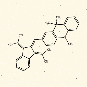 CN1c2ccccc2C(C)(C)c2cc(C=C3C(=C(C#N)C#N)c4ccccc4C3=C(C#N)C#N)ccc21